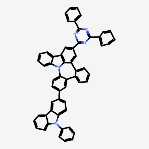 c1ccc(-c2nc(-c3ccccc3)nc(-c3cc4c5c(c3)c3ccccc3n5-c3ccc(-c5ccc6c(c5)c5ccccc5n6-c5ccccc5)cc3-c3ccccc3-4)n2)cc1